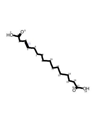 O=C(O)C/C=C/CCCCCCCCCCCC(=O)O